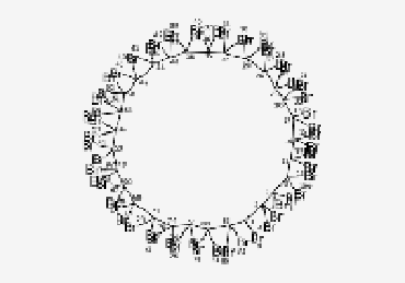 Br[C]1C(Br)(Br)C(Br)(Br)C(Br)(Br)C(Br)(Br)C(Br)(Br)C(Br)(Br)C(Br)(Br)C(Br)(Br)C(Br)(Br)C(Br)(Br)C(Br)(Br)C(Br)(Br)C(Br)(Br)C(Br)(Br)C(Br)(Br)C(Br)(Br)C(Br)(Br)C(Br)(Br)C(Br)(Br)C(Br)(Br)C(Br)(Br)C(Br)(Br)C(Br)(Br)C(Br)(Br)C(Br)(Br)C(Br)(Br)C(Br)(Br)C1(Br)Br